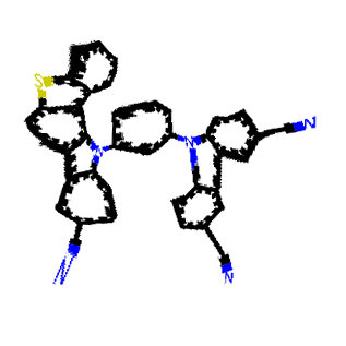 N#Cc1ccc2c(c1)c1cc(C#N)ccc1n2-c1cccc(-n2c3ccc(C#N)cc3c3ccc4sc5ccccc5c4c32)c1